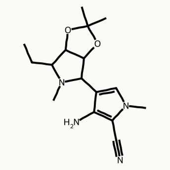 CCC1C2OC(C)(C)OC2C(c2cn(C)c(C#N)c2N)N1C